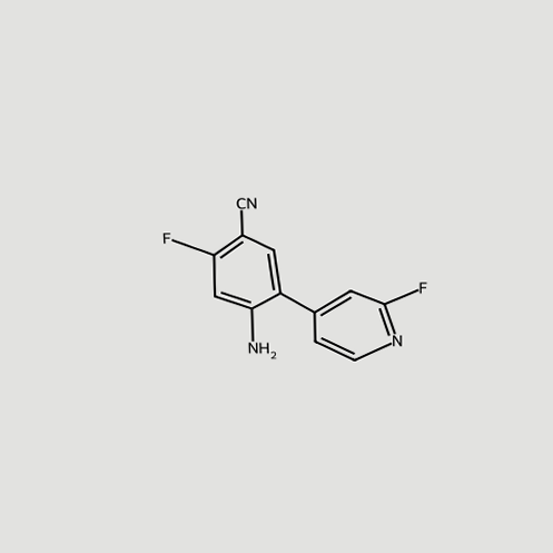 N#Cc1cc(-c2ccnc(F)c2)c(N)cc1F